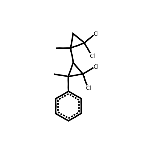 CC1(C2C(Cl)(Cl)C2(C)c2ccccc2)CC1(Cl)Cl